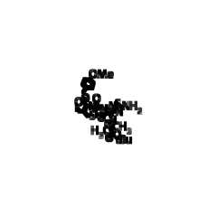 COc1ccc(COC(=O)C2=C(CI)CS[C@@H]3[C@H](NC(=O)/C(=N\OC(C)(C)C(=O)OC(C)(C)C)c4nsc(N)n4)C(=O)N23)cc1